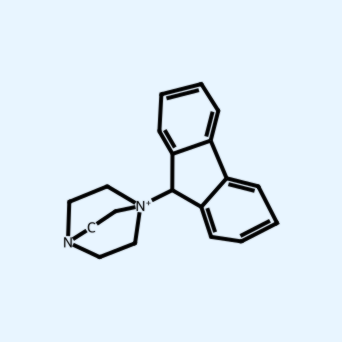 c1ccc2c(c1)-c1ccccc1C2[N+]12CCN(CC1)CC2